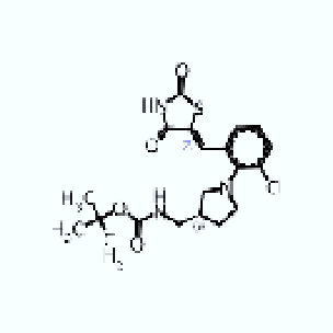 CC(C)(C)OC(=O)NC[C@@H]1CCN(c2c(Cl)cccc2/C=C2\SC(=O)NC2=O)C1